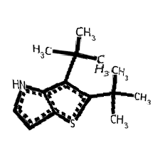 CC(C)(C)c1sc2cc[nH]c2c1C(C)(C)C